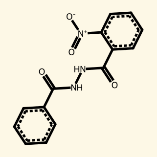 O=C(NNC(=O)c1ccccc1[N+](=O)[O-])c1ccccc1